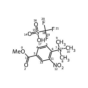 COC(=O)c1ccc([N+](C)(C)C)c([N+](=O)[O-])c1.O=S(=O)(O)C(F)(F)F